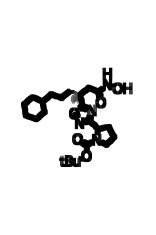 CC(C)(C)OC(=O)N1CCCC1c1noc([C@H](CCCC2CCCCC2)CC(=O)NO)n1